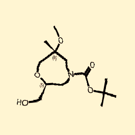 CO[C@@]1(C)CO[C@H](CO)CN(C(=O)OC(C)(C)C)C1